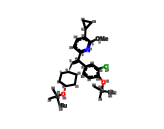 COc1nc(C(=C[C@H]2CC[C@@H](O[Si](C)(C)C(C)(C)C)CC2)c2ccc(O[Si](C)(C)C(C)(C)C)c(Cl)c2)ccc1C1CC1